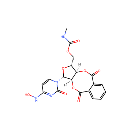 CNC(=O)OC[C@H]1O[C@@H](n2ccc(NO)nc2=O)[C@@H]2OC(=O)c3ccccc3C(=O)O[C@@H]21